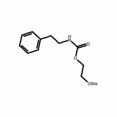 COCCOC(=O)NCCc1ccccc1